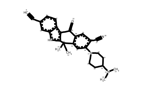 C#Cc1ccc2c3c([nH]c2c1)C(C)(C)c1cc(N2CCC(N(C)C)CC2)c(C#N)cc1C3=O